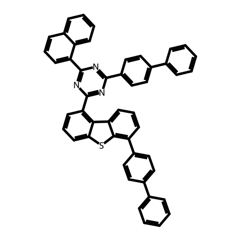 c1ccc(-c2ccc(-c3nc(-c4cccc5ccccc45)nc(-c4cccc5sc6c(-c7ccc(-c8ccccc8)cc7)cccc6c45)n3)cc2)cc1